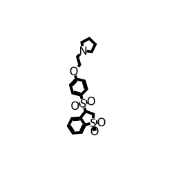 O=S1(=O)CC(S(=O)(=O)c2ccc(OCCN3CCCC3)cc2)c2ccccc21